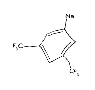 FC(F)(F)c1c[c]([Na])cc(C(F)(F)F)c1